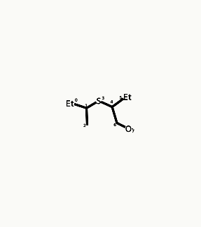 CCC(C)SC(CC)C[O]